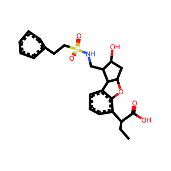 CCC(C(=O)O)c1cccc2c1OC1CC(O)C(CNS(=O)(=O)CCc3ccccc3)C21